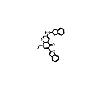 CCn1cc(-c2cc3ccccc3o2)c(=O)c2cc(NC3Cc4ccccc4C3)cnc21